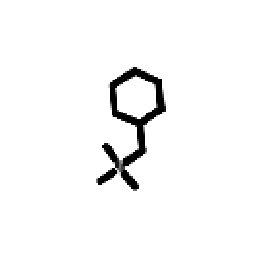 C[Si](C)(C)CC1CCCCC1